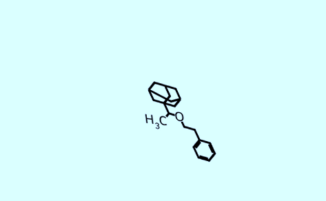 CC(OCCc1ccccc1)C12CC3CC(CC(C3)C1)C2